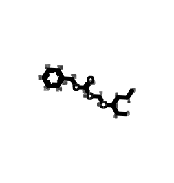 CCCC(CC)OCOC(=O)OCc1ccccc1